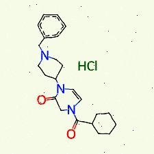 Cl.O=C(C1CCCCC1)N1C=CN(C2CCN(Cc3ccccc3)CC2)C(=O)C1